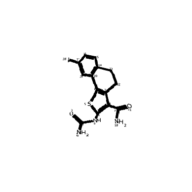 NC(=O)Nc1sc2c(c1C(N)=O)CCc1ccc(I)cc1-2